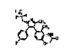 Cc1nn(CC(C)(F)F)c(-c2ccc(F)cc2)c1-c1ccc2c(c1C)NC(=O)CO2